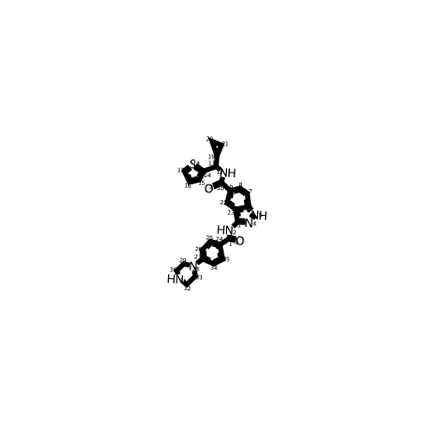 O=C(Nc1n[nH]c2ccc(C(=O)NC(c3cccs3)C3CC3)cc12)c1ccc(N2CCNCC2)cc1